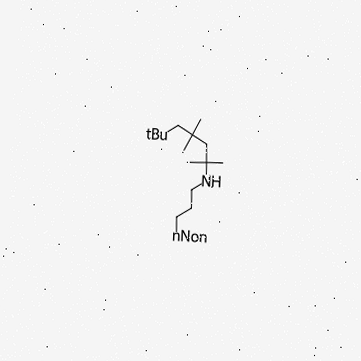 CCCCCCCCCCCCNC(C)(C)CC(C)(C)CC(C)(C)C